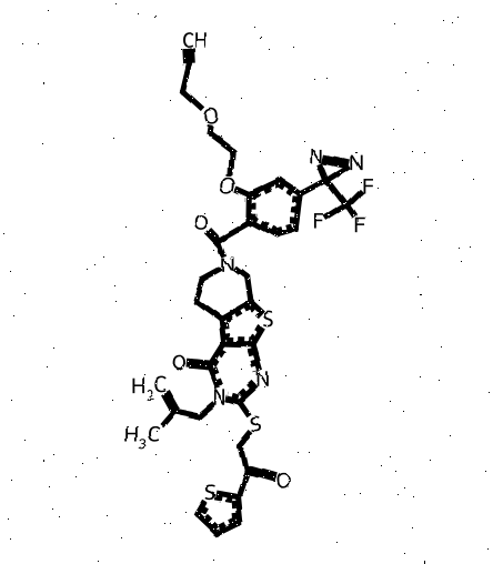 C#CCOCCOc1cc(C2(C(F)(F)F)N=N2)ccc1C(=O)N1CCc2c(sc3nc(SCC(=O)c4cccs4)n(CC(=C)C)c(=O)c23)C1